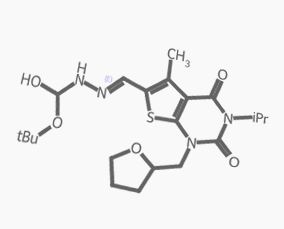 Cc1c(/C=N/NC(O)OC(C)(C)C)sc2c1c(=O)n(C(C)C)c(=O)n2CC1CCCO1